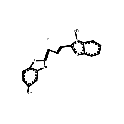 CCCc1ccc2c(c1)NC(=CC=Cc1sc3ccccc3[n+]1CCC)S2.[I-]